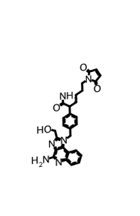 NC(=O)C(CCCCN1C(=O)C=CC1=O)c1ccc(Cn2c(CO)nc3c(N)nc4ccccc4c32)cc1